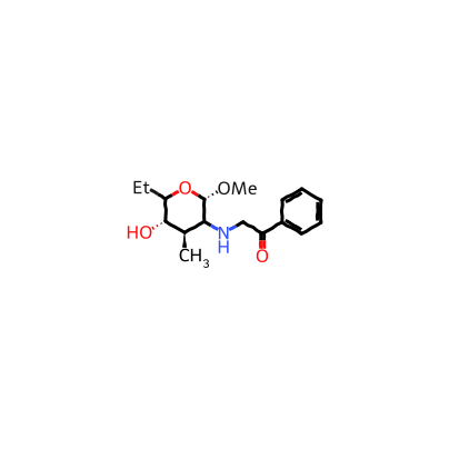 CCC1O[C@H](OC)C(NCC(=O)c2ccccc2)[C@@H](C)[C@@H]1O